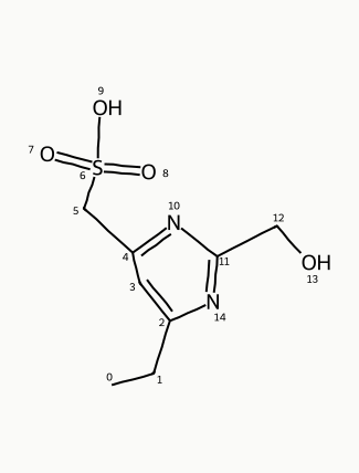 CCc1cc(CS(=O)(=O)O)nc(CO)n1